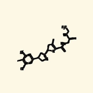 C=C(CNC(=C)C1=C(C)CC(C2=NCC(c3cc(Cl)c(C)c(Cl)c3)C2)S1)NCC(F)(F)F